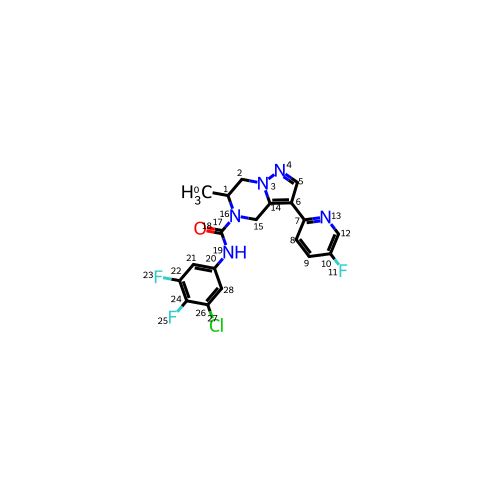 CC1Cn2ncc(-c3ccc(F)cn3)c2CN1C(=O)Nc1cc(F)c(F)c(Cl)c1